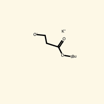 CC(C)(C)OC(=O)CC[O-].[K+]